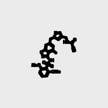 C#CC(=O)NCc1cnn(Cc2cc(C)c3c(NS(=O)(=O)c4c(OC)cccc4OC)noc3c2)c1